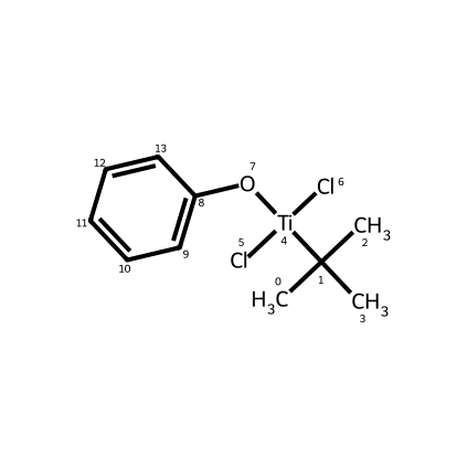 C[C](C)(C)[Ti]([Cl])([Cl])[O]c1ccccc1